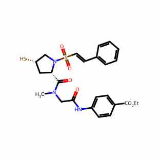 CCOC(=O)c1ccc(NC(=O)CN(C)C(=O)[C@@H]2C[C@H](S)CN2S(=O)(=O)C=Cc2ccccc2)cc1